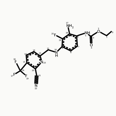 CCOC(=O)Nc1ccc(NCc2ccc(C(F)(F)F)c(C#N)n2)c(F)c1N